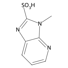 Cn1c(S(=O)(=O)O)nc2cccnc21